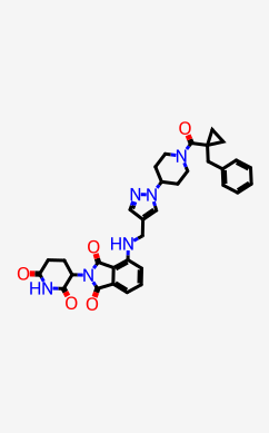 O=C1CCC(N2C(=O)c3cccc(NCc4cnn(C5CCN(C(=O)C6(Cc7ccccc7)CC6)CC5)c4)c3C2=O)C(=O)N1